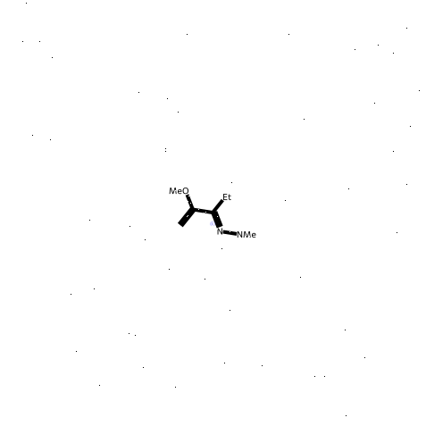 C=C(OC)/C(CC)=N/NC